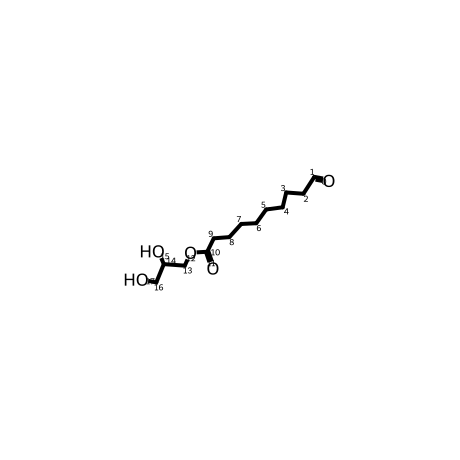 O=CCCCCCCCCC(=O)OCC(O)CO